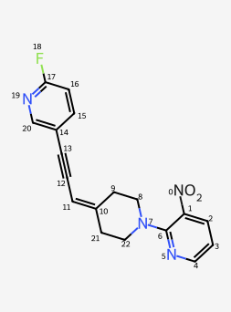 O=[N+]([O-])c1cccnc1N1CCC(=CC#Cc2ccc(F)nc2)CC1